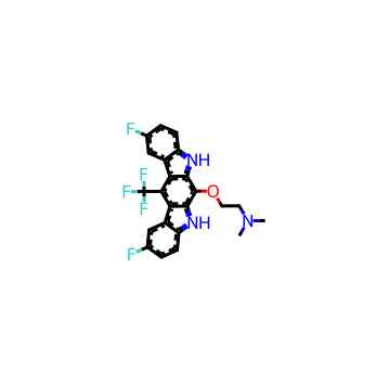 CN(C)CCOc1c2[nH]c3ccc(F)cc3c2c(C(F)(F)F)c2c1[nH]c1ccc(F)cc12